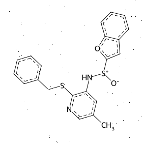 Cc1cnc(SCc2ccccc2)c(N[S+]([O-])c2cc3ccccc3o2)c1